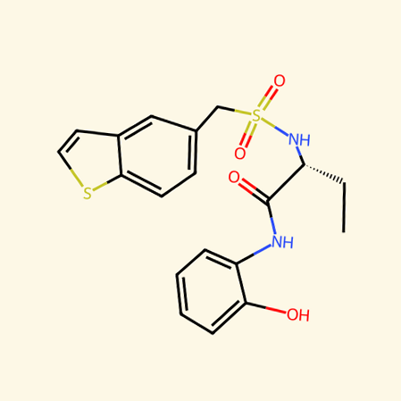 CC[C@@H](NS(=O)(=O)Cc1ccc2sccc2c1)C(=O)Nc1ccccc1O